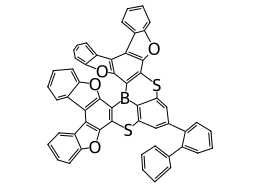 c1ccc(-c2ccccc2-c2cc3c4c(c2)Sc2c(c5oc6ccccc6c5c5c2oc2ccccc25)B4c2c(c4oc5ccccc5c4c4c2oc2ccccc24)S3)cc1